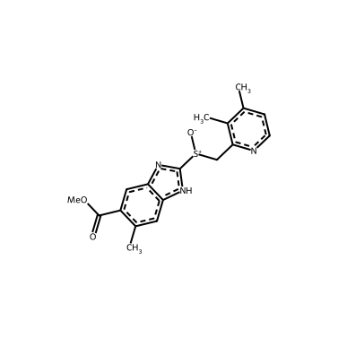 COC(=O)c1cc2nc([S+]([O-])Cc3nccc(C)c3C)[nH]c2cc1C